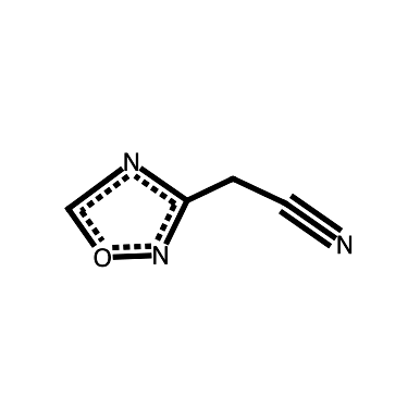 N#CCc1ncon1